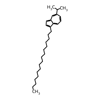 CCCCCCCCCCCCCCCCCc1ccc2cc(C(C)C)cccc1-2